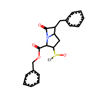 CC[S+]([O-])C1CC2C(Cc3ccccc3)C(=O)N2C1C(=O)OCc1ccccc1